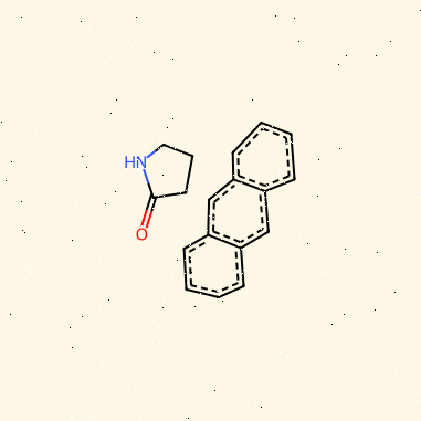 O=C1CCCN1.c1ccc2cc3ccccc3cc2c1